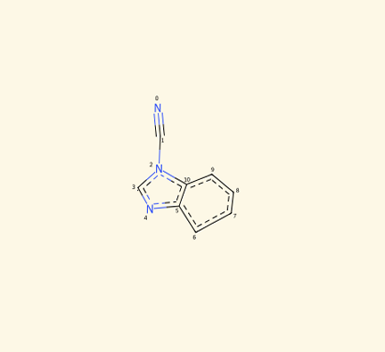 N#Cn1[c]nc2ccccc21